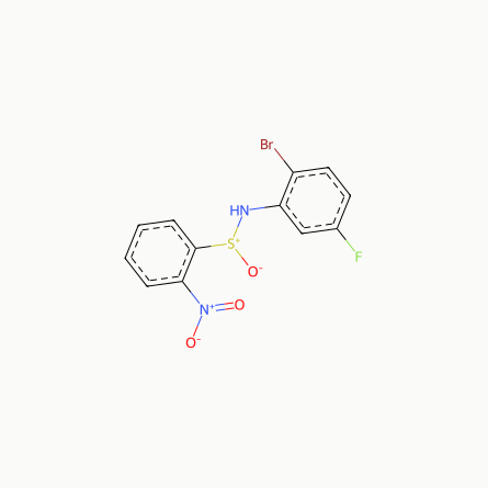 O=[N+]([O-])c1ccccc1[S+]([O-])Nc1cc(F)ccc1Br